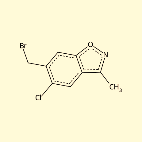 Cc1noc2cc(CBr)c(Cl)cc12